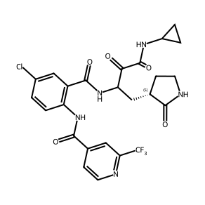 O=C(NC1CC1)C(=O)C(C[C@@H]1CCNC1=O)NC(=O)c1cc(Cl)ccc1NC(=O)c1ccnc(C(F)(F)F)c1